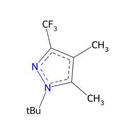 Cc1c(C(F)(F)F)nn(C(C)(C)C)c1C